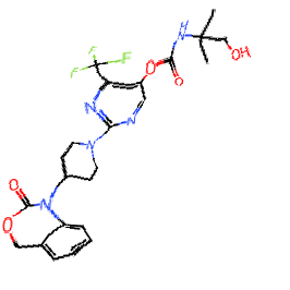 CC(C)(CO)NC(=O)Oc1cnc(N2CCC(N3C(=O)OCc4ccccc43)CC2)nc1C(F)(F)F